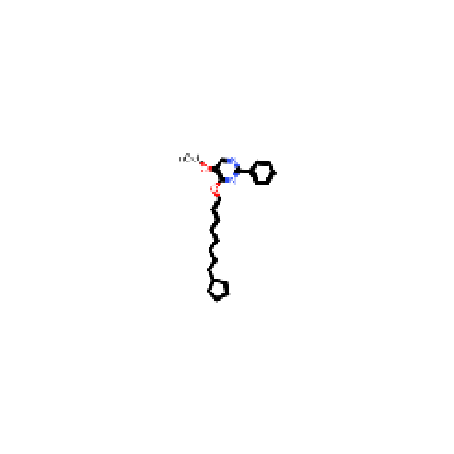 CCCCCCCCOc1cnc(-c2ccccc2)nc1OCCCCCCCCC1CCCC1